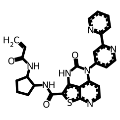 C=CC(=O)NC1CCCC1NC(=O)c1sc2nccc3c2c1NC(=O)N3c1ccnc(-c2ccccn2)c1